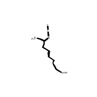 CCCCCCCCCCCC(C)N=C=O